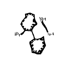 CC(C)c1ccccc1-c1ccccc1.N=C=N